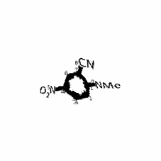 CNc1ccc([N+](=O)[O-])cc1C#N